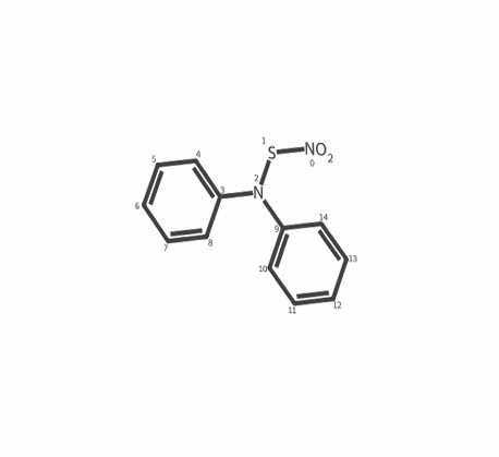 O=[N+]([O-])SN(c1ccccc1)c1ccccc1